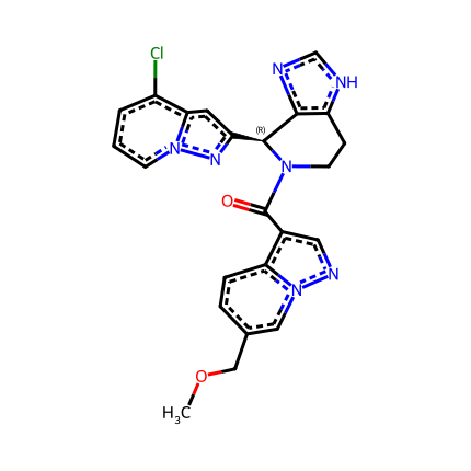 COCc1ccc2c(C(=O)N3CCc4[nH]cnc4[C@@H]3c3cc4c(Cl)cccn4n3)cnn2c1